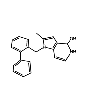 Cc1cc2c(n1Cc1ccccc1-c1ccccc1)C=CNC2O